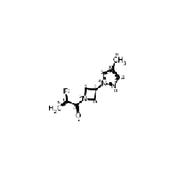 C=C(F)C(=O)N1CC(n2cc(C)cn2)C1